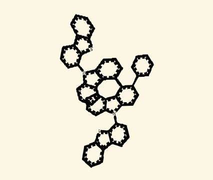 c1ccc(-c2ccc3c(c2-c2cccc4c2c2ccccc2n4-c2cccc4c2sc2ccccc24)c2ccccc2n3-c2cccc3c2sc2ccccc23)cc1